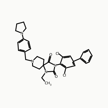 CCN1C(=O)N(c2c(Cl)cc(-c3ccccc3)cc2Cl)C(=O)C12CCN(Cc1ccc(N3CCCC3)cc1)CC2